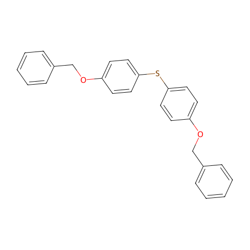 c1ccc(COc2ccc(Sc3ccc(OCc4ccccc4)cc3)cc2)cc1